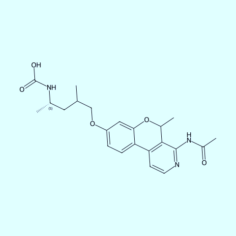 CC(=O)Nc1nccc2c1C(C)Oc1cc(OCC(C)C[C@H](C)NC(=O)O)ccc1-2